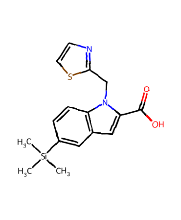 C[Si](C)(C)c1ccc2c(c1)cc(C(=O)O)n2Cc1nccs1